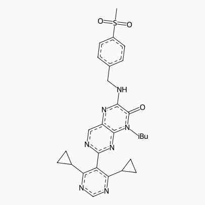 CCC(C)n1c(=O)c(NCc2ccc(S(C)(=O)=O)cc2)nc2cnc(-c3c(C4CC4)ncnc3C3CC3)nc21